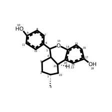 C[C@@H]1CCC2C(c3ccc(O)cc3)Oc3ccc(O)cc3[C@H]2C1